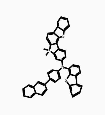 CS1(C)c2cc(N(c3ccc(-c4ccc5ccccc5c4)cc3)c3cccc4c3sc3ccccc34)ccc2-c2c1ccc1c2sc2ccccc21